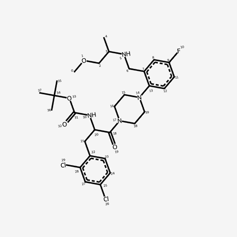 COCC(C)NCc1cc(F)ccc1N1CCN(C(=O)C(Cc2ccc(Cl)cc2Cl)NC(=O)OC(C)(C)C)CC1